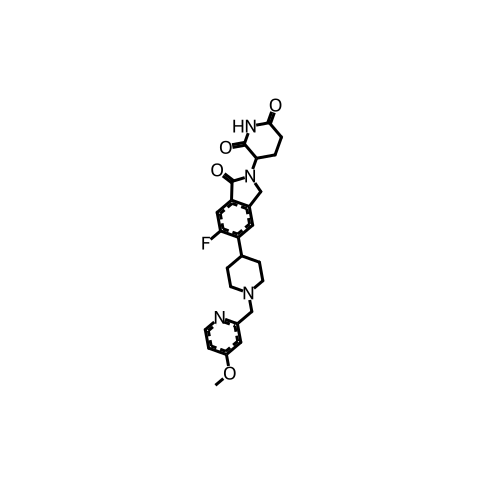 COc1ccnc(CN2CCC(c3cc4c(cc3F)C(=O)N(C3CCC(=O)NC3=O)C4)CC2)c1